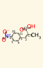 C/C(=C/c1ccc([N+](=O)[O-])cc1)C(=O)O